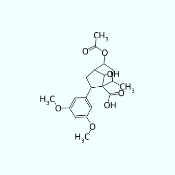 COc1cc(OC)cc(C2CC3C(OC(C)=O)C=C(C)C2(C(=O)O)C3O)c1